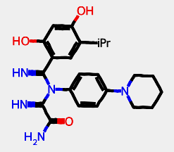 CC(C)c1cc(C(=N)N(C(=N)C(N)=O)c2ccc(N3CCCCC3)cc2)c(O)cc1O